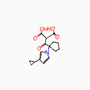 O=C(O)C(C(=O)O)C(=O)C1(n2ccc(C3CC3)c2)CCCC1